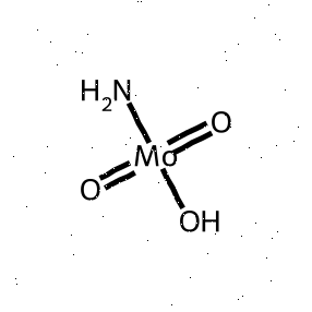 [NH2][Mo](=[O])(=[O])[OH]